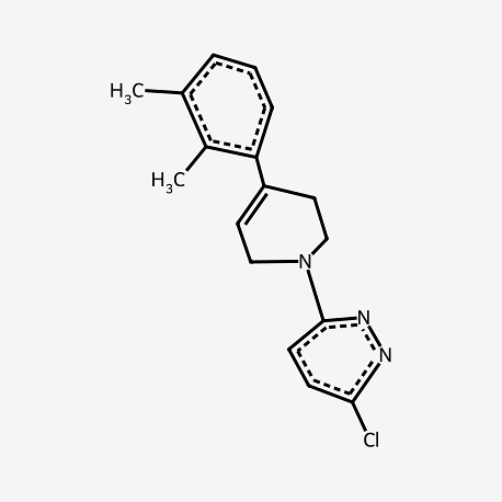 Cc1cccc(C2=CCN(c3ccc(Cl)nn3)CC2)c1C